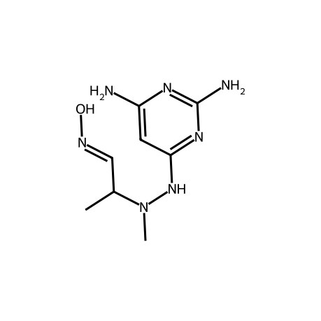 CC(C=NO)N(C)Nc1cc(N)nc(N)n1